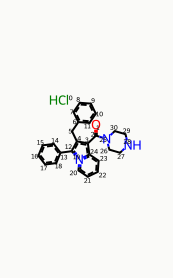 Cl.O=C(c1c(Cc2ccccc2)c(-c2ccccc2)n2ccccc12)N1CCNCC1